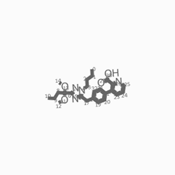 CCCCn1nc(C(CCC)(OC)OC)nc1Cc1ccc(-c2cccnc2C(=O)O)cc1